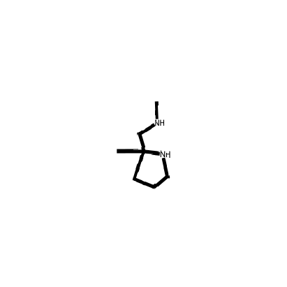 CNCC1(C)CCCN1